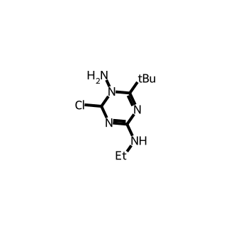 CCNC1=NC(Cl)N(N)C(C(C)(C)C)=N1